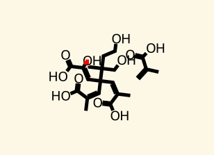 C=C(C)C(=O)O.CC(=CC(C=C(C)C(=O)O)(C=C(C)C(=O)O)C(CO)(CO)CCO)C(=O)O